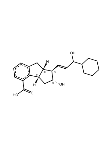 O=C(O)c1cccc2c1[C@H]1C[C@@H](O)[C@H](C=CC(O)C3CCCCC3)[C@H]1C2